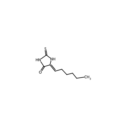 CCCCC/C=C1\NC(=S)NC1=O